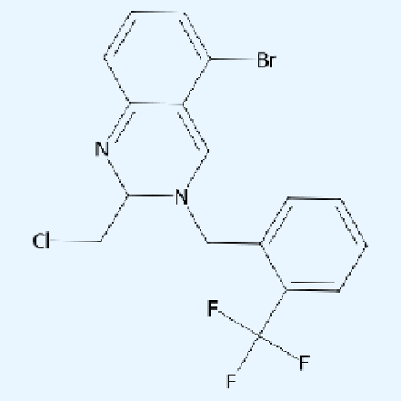 FC(F)(F)c1ccccc1CN1C=c2c(Br)cccc2=NC1CCl